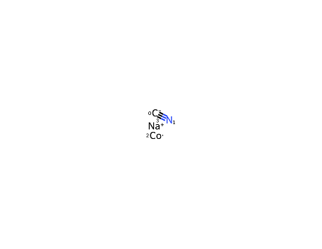 [C-]#N.[Co].[Na+]